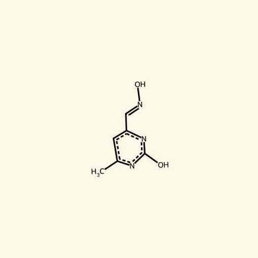 Cc1cc(C=NO)nc(O)n1